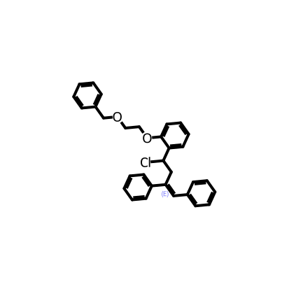 ClC(C/C(=C\c1ccccc1)c1ccccc1)c1ccccc1OCCOCc1ccccc1